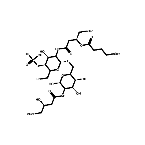 CCCCCCCCCCCCCC(=O)O[C@H](CCCCCCCCCCC)CC(=O)NC1[C@H](OCC2O[C@H](O)C(NC(=O)C[C@H](O)CCCCCCCCCCC)[C@@H](O)[C@@H]2O)OC(CO)[C@@H](OP(=O)(O)O)[C@@H]1O